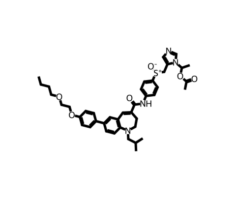 CCCCOCCOc1ccc(-c2ccc3c(c2)C=C(C(=O)Nc2ccc([S+]([O-])Cc4cncn4C(C)OC(C)=O)cc2)CCN3CC(C)C)cc1